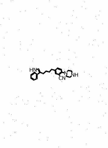 N#Cc1cc(CCCCc2c[nH]c3ccccc23)ccc1N1CCNCC1